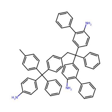 Cc1ccc(C(c2ccccc2)(c2ccc(N)cc2)c2ccc(CC(c3ccccc3)(c3ccc(N)c(-c4ccccc4)c3)c3ccc(N)c(-c4ccccc4)c3)cc2)cc1